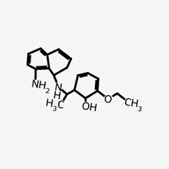 CCOC1=CC=CC(C(C)NC2CC=Cc3cccc(N)c32)C1O